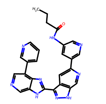 CCCC(=O)Nc1cncc(-c2cc3c(-c4nc5c(-c6cccnc6)cncc5[nH]4)n[nH]c3cn2)c1